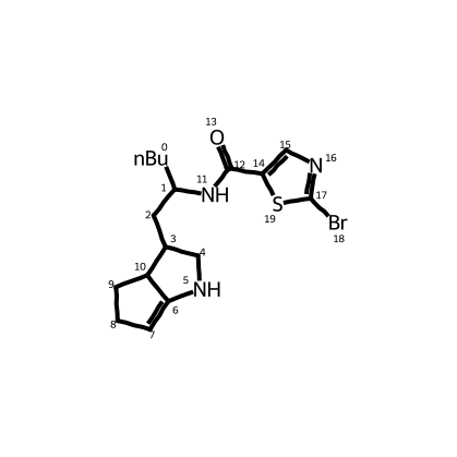 CCCCC(CC1CNC2=CCCC21)NC(=O)c1cnc(Br)s1